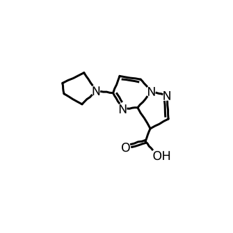 O=C(O)C1C=NN2C=CC(N3CCCC3)=NC12